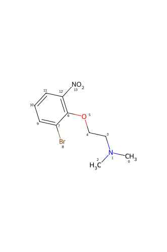 CN(C)CCOc1c(Br)cccc1[N+](=O)[O-]